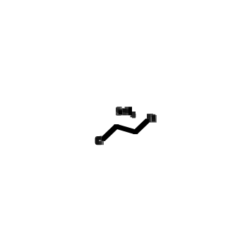 CCCCCl.[SnH4]